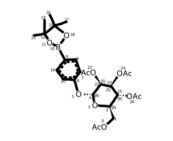 CC(=O)OC[C@H]1O[C@H](Oc2ccc(B3OC(C)(C)C(C)(C)O3)cc2)[C@@H](OC(C)=O)[C@@H](OC(C)=O)[C@@H]1OC(C)=O